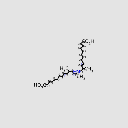 C/C(=C/CC(C)/C=C/CCCCCCCC(=O)O)NCC(C)/C=C/CCCCCCCC(=O)O